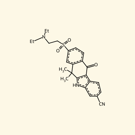 CCN(CC)CCS(=O)(=O)c1ccc2c(c1)C(C)(C)c1[nH]c3cc(C#N)ccc3c1C2=O